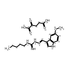 CCCCCNC(=N)N/N=C/c1c[nH]c2ccc(OC)cc12.O=C(O)CCC(=O)C(=O)O